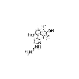 Cc1cc(O)c(-c2ccc(NCCN)nc2)c2c1NC(O)=C1SCC=C12